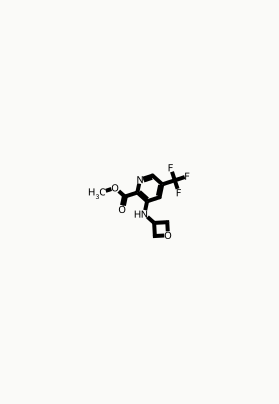 COC(=O)c1ncc(C(F)(F)F)cc1NC1COC1